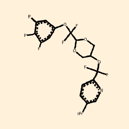 CCCc1ccc(C(F)(F)OC2COC(C(F)(F)Oc3cc(F)c(F)c(F)c3)OC2)nc1